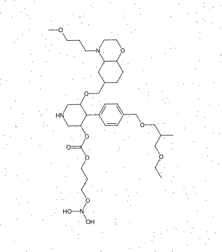 CCOCC(C)COCc1ccc(C2C(OCC3CCC4OCCN(CCCOC)C4C3)CNCC2OC(=O)OCCCON(O)O)cc1